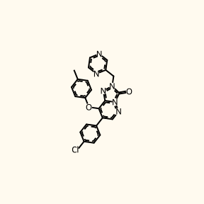 Cc1ccc(Oc2c(-c3ccc(Cl)cc3)cnn3c(=O)n(Cc4cnccn4)nc23)cc1